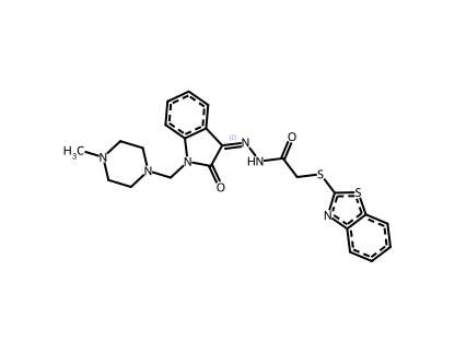 CN1CCN(CN2C(=O)/C(=N\NC(=O)CSc3nc4ccccc4s3)c3ccccc32)CC1